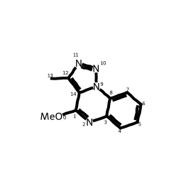 COc1nc2ccccc2n2nnc(C)c12